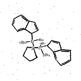 CCC[CH2][Zr]([CH2]CCC)([CH]1C=Cc2ccccc21)[Si]1([Zr]([CH2]CCC)([CH2]CCC)[CH]2C=Cc3ccccc32)CCCC1